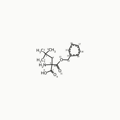 CC(C)(C)CC(N)(C(=O)O)C(=O)OCc1ccccc1